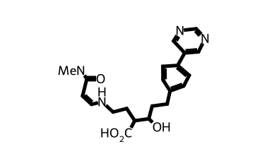 CNC(=O)/C=C\NCCC(C(=O)O)C(O)CCc1ccc(-c2cncnc2)cc1